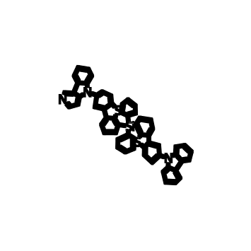 c1ccc([Si](c2ccccc2)(c2cccc3c2sc2ccc(-n4c5ccccc5c5ccccc54)cc23)c2cccc3c2sc2ccc(-n4c5ccccc5c5cnccc54)cc23)cc1